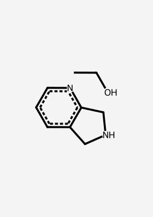 CCO.c1cnc2c(c1)CNC2